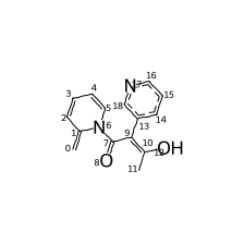 C=C1C=CC=CN1C(=O)/C(=C(\C)O)c1cccnc1